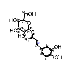 O=C(/C=C/c1ccc(O)c(O)c1)O[C@@H]1OC(CO)[C@@H](O)[C@@H](O)C1O